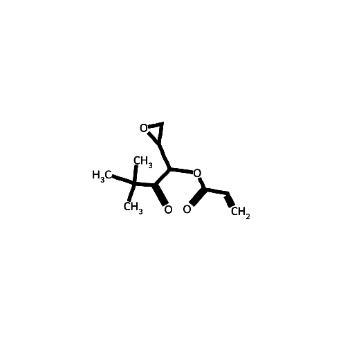 C=CC(=O)OC(C(=O)C(C)(C)C)C1CO1